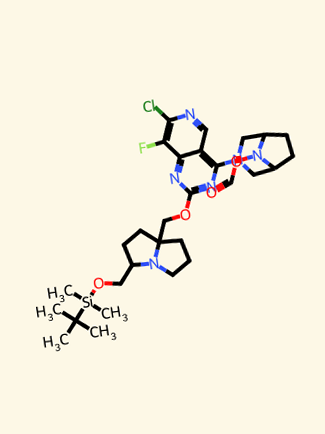 CC(C)(C)[Si](C)(C)OCC1CCC2(COc3nc(N4CC5CCC(C4)N5OC=O)c4cnc(Cl)c(F)c4n3)CCCN12